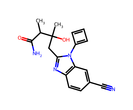 CC(C(N)=O)C(C)(O)Cc1nc2ccc(C#N)cc2n1C1=CC=C1